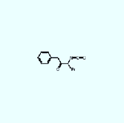 CC(C)[C@H](N=C=O)C(=O)Cc1ccccc1